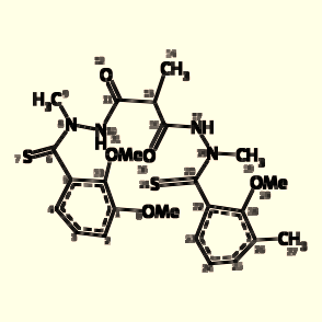 COc1cccc(C(=S)N(C)NC(=O)C(C)C(=O)NN(C)C(=S)c2cccc(C)c2OC)c1OC